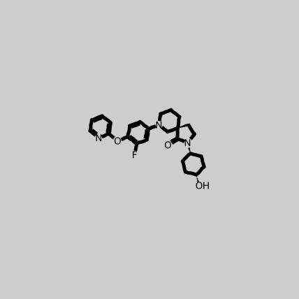 O=C1N([C@H]2CC[C@@H](O)CC2)CC[C@@]12CCCN(c1ccc(Oc3ccccn3)c(F)c1)C2